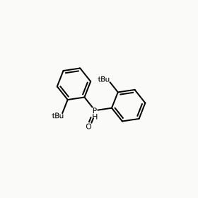 CC(C)(C)c1ccccc1[PH](=O)c1ccccc1C(C)(C)C